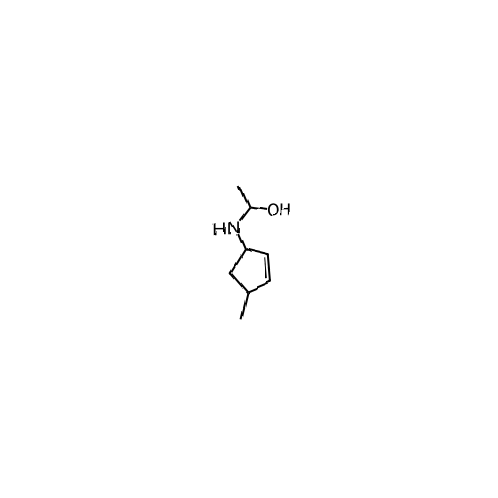 CC1C=CC(NC(C)O)C1